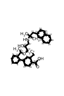 CCc1cc(-c2ccccc2C(C)OC[C@H](O)CNC(C)(C)Cc2ccc3ccccc3c2)ccc1C(=O)O